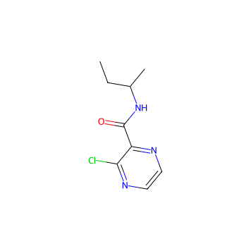 CCC(C)NC(=O)c1nccnc1Cl